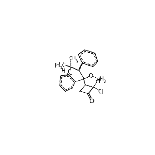 CC(C)(C)C(c1ccccc1)C(O[SiH3])(c1ccccc1)C1CC(=O)C1(Cl)Cl